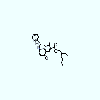 CCCCC(CC)COC(=O)c1cc2c(nc1C)/C(=N\Nc1ccccn1)C=CC2=O